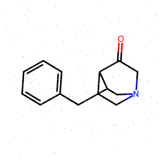 O=C1CN2CCC1C(Cc1ccccc1)C2